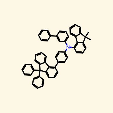 CC1(C)c2ccccc2-c2c(N(c3ccc(-c4cccc5c4-c4ccccc4C5(c4ccccc4)c4ccccc4)cc3)c3cccc(-c4ccccc4)c3)cccc21